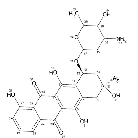 CC(=O)[C@]1(O)Cc2c(O)c3c(c(O)c2[C@@H](OC2CC(N)C(O)C(C)O2)C1)C(=O)c1c(O)cccc1C3=O